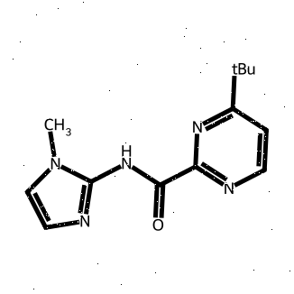 Cn1ccnc1NC(=O)c1nccc(C(C)(C)C)n1